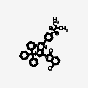 CC(C)S(=O)(=O)c1ccc(-c2cnc3c(n2)c(N2Cc4c(Cl)cccc4C2=O)cn3C(c2ccccc2)(c2ccccc2)c2ccccc2)cc1